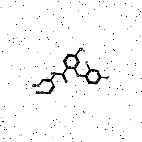 CN/C=C\C(=C/C=O)NC(=O)c1ccc(C(F)(F)F)cc1Oc1ccc(F)cc1F